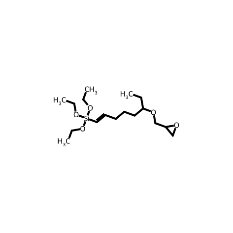 CCO[Si](C=CCCCC(CC)OCC1CO1)(OCC)OCC